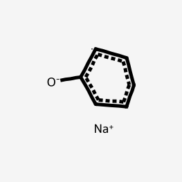 [Na+].[O-]c1[c]cccc1